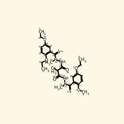 CCOc1ccc(OC)c(C(=S)N(C)NC(=O)C(C)C(=O)NN(C)C(=S)c2cc(OCC)ccc2OCC)c1